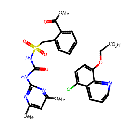 COC(=O)c1ccccc1CS(=O)(=O)NC(=O)Nc1nc(OC)cc(OC)n1.O=C(O)COc1ccc(Cl)c2cccnc12